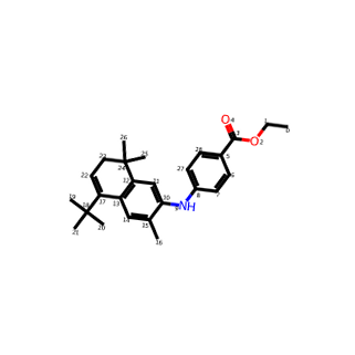 CCOC(=O)c1ccc(Nc2cc3c(cc2C)C(C(C)(C)C)=CCC3(C)C)cc1